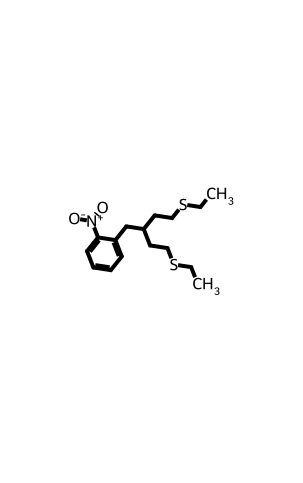 CCSCCC(CCSCC)Cc1ccccc1[N+](=O)[O-]